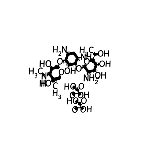 CN[C@@H]1[C@@H](O)[C@@H](O[C@@H]2[C@H](O)[C@H](O[C@H]3O[C@H](C(C)O)[C@@H](O)[C@H](O)[C@H]3N)[C@@H](N)C[C@H]2N)OC[C@]1(C)O.O=S(=O)(O)O.O=S(=O)(O)O